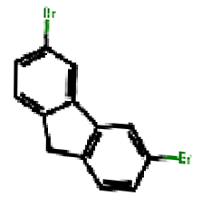 Brc1c[c]c2c(c1)-c1cc(Br)ccc1C2